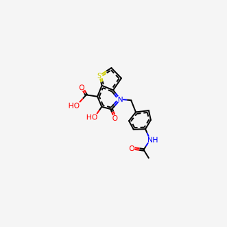 CC(=O)Nc1ccc(Cn2c(=O)c(O)c(C(=O)O)c3sccc32)cc1